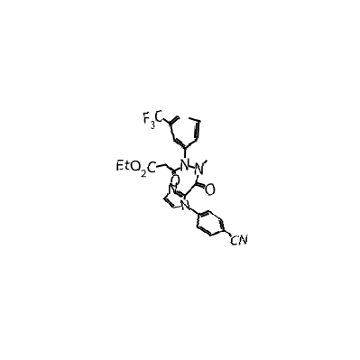 C=C(/C=C(\C=C/C)N(C(=O)CC(=O)OCC)N(C)C(=O)c1nccn1-c1ccc(C#N)cc1)C(F)(F)F